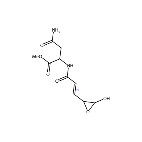 COC(=O)C(CC(N)=O)NC(=O)/C=C/C1OC1O